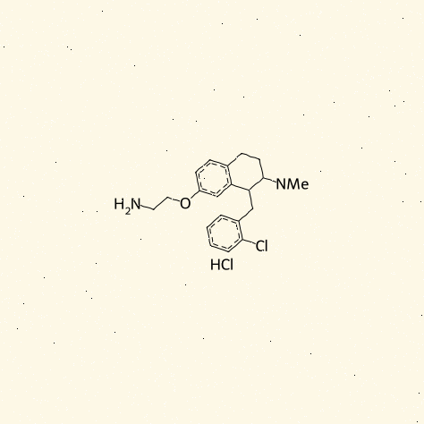 CNC1CCc2ccc(OCCN)cc2C1Cc1ccccc1Cl.Cl